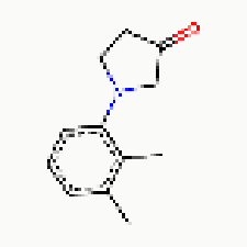 Cc1cccc(N2CCC(=O)C2)c1C